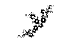 COC(=O)N[C@H](C(=O)N1CCC[C@H]1c1nc2cc([C@H]3CC[C@H](c4ccc5[nH]c([C@@H]6CCCN6C(=O)[C@@H](NC(=O)OC)C(C)C)nc5c4)N3c3cc(F)c(N4CCC(C)(C)CC4)c(F)c3)ccc2[nH]1)C(C)C